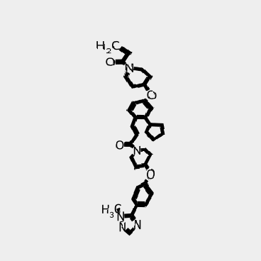 C=CC(=O)N1CCC(Oc2ccc(/C=C/C(=O)N3CCC(Oc4ccc(-c5ncnn5C)cc4)CC3)c(C3CCCC3)c2)CC1